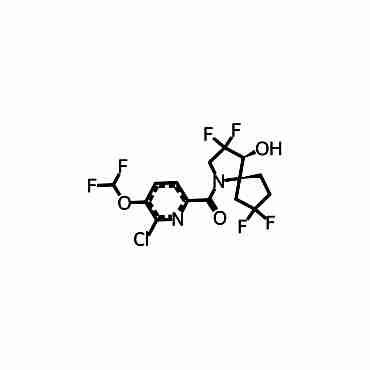 O=C(c1ccc(OC(F)F)c(Cl)n1)N1CC(F)(F)[C@@H](O)[C@@]12CCC(F)(F)C2